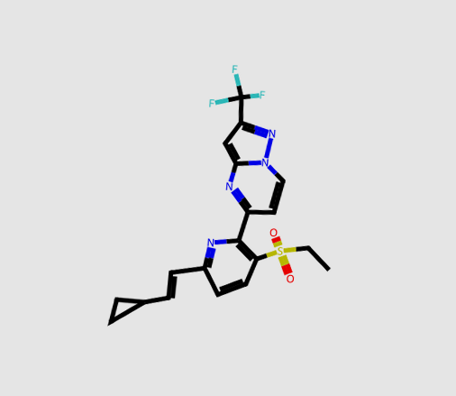 CCS(=O)(=O)c1ccc(/C=C/C2CC2)nc1-c1ccn2nc(C(F)(F)F)cc2n1